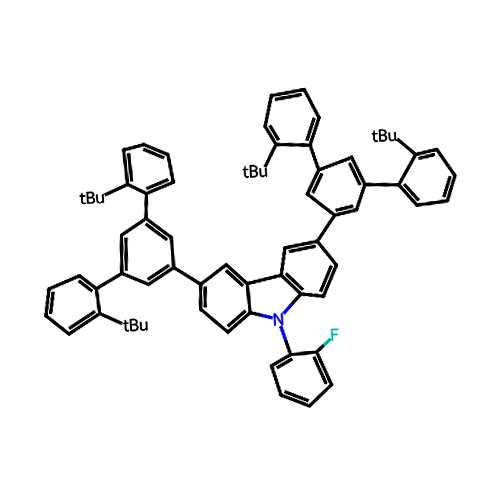 CC(C)(C)c1ccccc1-c1cc(-c2ccc3c(c2)c2cc(-c4cc(-c5ccccc5C(C)(C)C)cc(-c5ccccc5C(C)(C)C)c4)ccc2n3-c2ccccc2F)cc(-c2ccccc2C(C)(C)C)c1